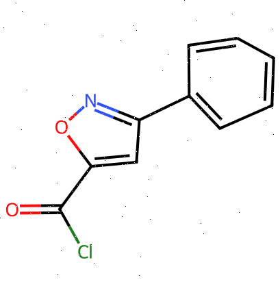 O=C(Cl)c1cc(-c2ccccc2)no1